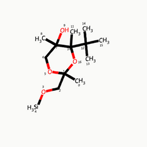 CC1(CO[SiH3])OCC(C)(O)C(C)(C(C)(C)C)O1